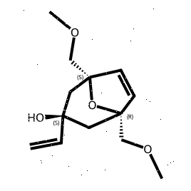 C=C[C@]1(O)C[C@@]2(COC)C=C[C@@](COC)(C1)O2